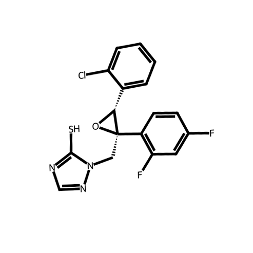 Fc1ccc([C@@]2(Cn3ncnc3S)O[C@@H]2c2ccccc2Cl)c(F)c1